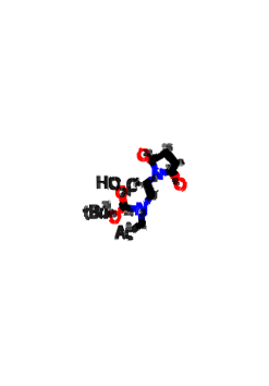 CC(=O)CN(C[C@H](C(=O)O)N1C(=O)C=CC1=O)C(=O)OC(C)(C)C